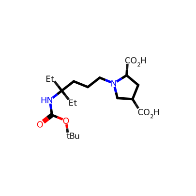 CCC(CC)(CCCN1CC(C(=O)O)CC1C(=O)O)NC(=O)OC(C)(C)C